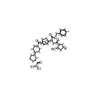 CCN(CC)C(=O)[C@@H]1CCCN(C2CCN(C(=O)C34CCC(N(CC(=O)N5C[C@@H](F)C[C@H]5C#N)C(=O)OCc5ccccc5)(CC3)CC4)CC2)C1